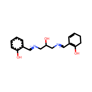 OC1=C(/C=N/CC(O)C/N=C/c2ccccc2O)C=CCC1